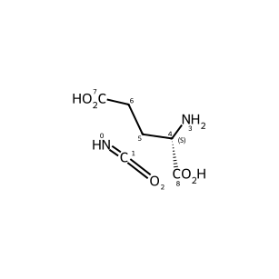 N=C=O.N[C@@H](CCC(=O)O)C(=O)O